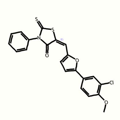 COc1ccc(-c2ccc(/C=C3/SC(=S)N(c4ccccc4)C3=O)o2)cc1Cl